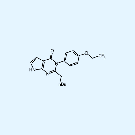 CCCCSc1nc2[nH]ccc2c(=O)n1-c1ccc(OCC(F)(F)F)cc1